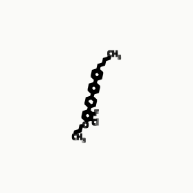 CCCCCc1ccc(-c2ccc(C3CC=C(c4ccc(OCCCC)c(Cl)c4F)CC3)cc2)cc1